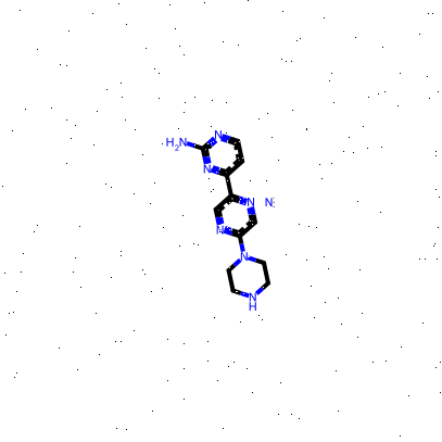 Nc1nccc(-c2cnc(N3CCNCC3)cn2)n1.[N]